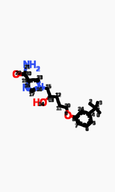 CC(C)(C)c1cccc(OCCC[C@H](O)Cn2cnc(C(N)=O)c2)c1